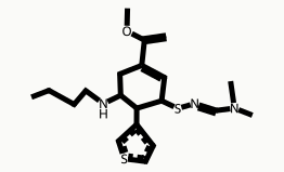 C=C(OC)C1=CC(S/N=C/N(C)C)C(c2ccsc2)C(NCCCC)C1